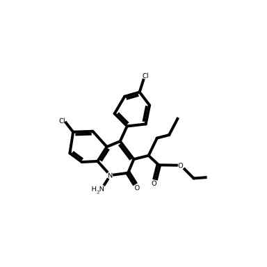 CCCC(C(=O)OCC)c1c(-c2ccc(Cl)cc2)c2cc(Cl)ccc2n(N)c1=O